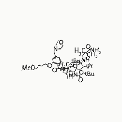 COCCCCOc1cc(CN2CCOCC2)ccc1C(=O)NCC(CC(NC(=O)OC(C)(C)C)C(CC(C(=O)NCC(C)(C)C(N)=O)C(C)C)O[Si](C)(C)C(C)(C)C)C(C)C